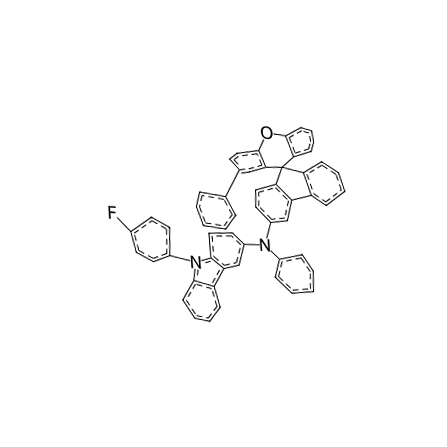 Fc1ccc(-n2c3ccccc3c3cc(N(c4ccccc4)c4ccc5c(c4)-c4ccccc4C54c5ccccc5Oc5ccc(-c6ccccc6)cc54)ccc32)cc1